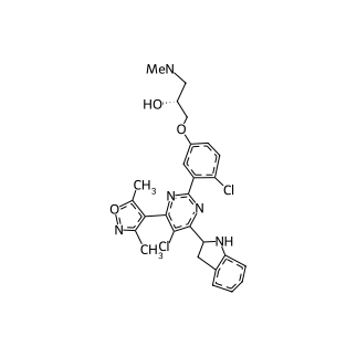 CNC[C@@H](O)COc1ccc(Cl)c(-c2nc(-c3c(C)noc3C)c(Cl)c(C3Cc4ccccc4N3)n2)c1